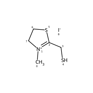 C[N+]1=C(CS)SCC1.[I-]